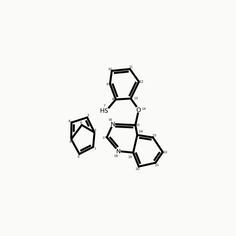 C1=CC2=CC=C1C2.Sc1ccccc1Oc1ncnc2ccccc12